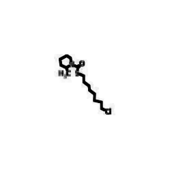 CC1CCCCN1C(=O)SCCCCCCCCCl